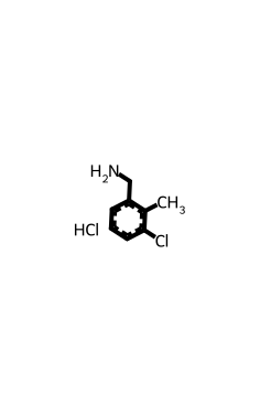 Cc1c(Cl)cccc1CN.Cl